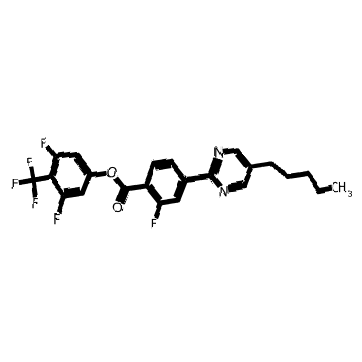 CCCCCc1cnc(-c2ccc(C(=O)Oc3cc(F)c(C(F)(F)F)c(F)c3)c(F)c2)nc1